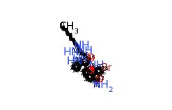 CCCCCCCCNC(=N)NCCNC(=O)C(Cc1c[nH]c2ccccc12)NC(=O)c1cc(Br)ccc1-c1c(C(N)=O)ccc2ccccc12